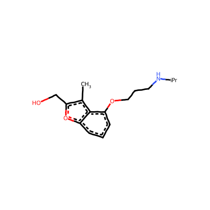 Cc1c(CO)oc2cccc(OCCCNC(C)C)c12